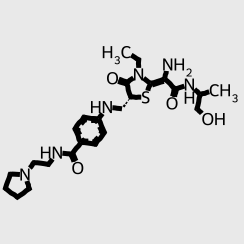 CCN1C(=O)[C@@H](CNc2ccc(C(=O)NCCN3CCCC3)cc2)S/C1=C(/N)C(=O)NC(C)CO